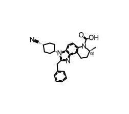 C[C@H]1CCc2c(ccc3c2nc(Cc2ccccc2)n3[C@H]2CC[C@@H](C#N)CC2)N1C(=O)O